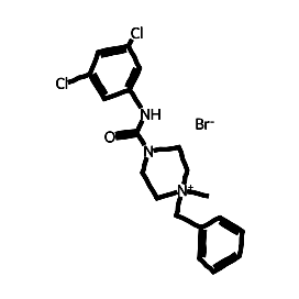 C[N+]1(Cc2ccccc2)CCN(C(=O)Nc2cc(Cl)cc(Cl)c2)CC1.[Br-]